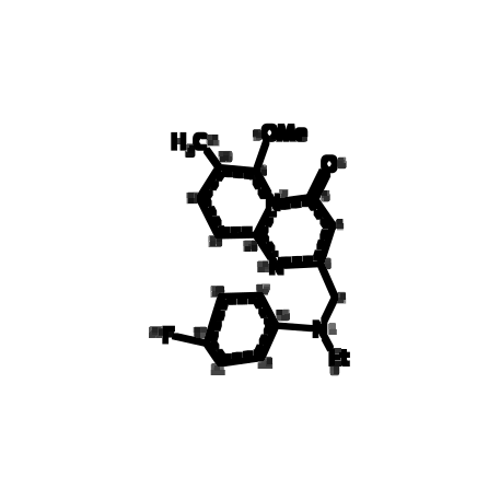 CCN(Cc1cc(=O)n2c(OC)c(C)ccc2n1)c1ccc(F)cc1